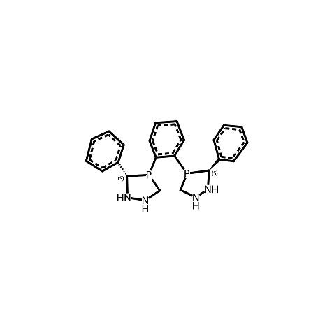 c1ccc([C@H]2NNCP2c2ccccc2P2CNN[C@@H]2c2ccccc2)cc1